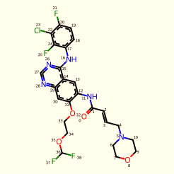 O=C(/C=C/CN1CCOCC1)Nc1cc2c(Nc3ccc(F)c(Cl)c3F)ncnc2cc1OCCOC(F)F